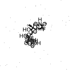 C#CC1(F)C(O)[C@@H]([C@H](C)OP(=O)(O)OP(=O)(O)OP(=O)(O)O)O[C@H]1n1cc(F)c(=O)[nH]c1=O